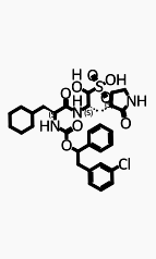 O=C(N[C@@H](CC1CCCCC1)C(=O)N[C@@H](C[C@@H]1CCNC1=O)C(O)S(=O)(=O)O)OC(Cc1cccc(Cl)c1)c1ccccc1